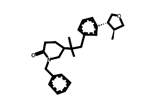 C[C@@H]1COC[C@H]1c1cccc(CC(C)(C)C2CCC(=O)N(Cc3ccccc3)C2)c1